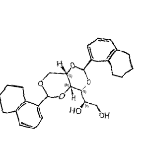 OC[C@@H](O)[C@H]1OC(c2cccc3c2CCCC3)O[C@H]2COC(c3cccc4c3CCCC4)O[C@@H]12